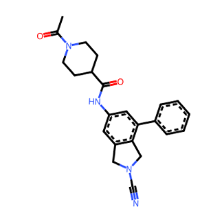 CC(=O)N1CCC(C(=O)Nc2cc3c(c(-c4ccccc4)c2)CN(C#N)C3)CC1